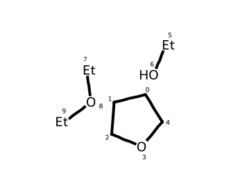 C1CCOC1.CCO.CCOCC